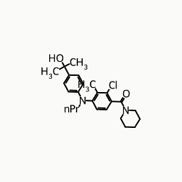 CCCN(c1ccc(C(C)(C)O)cc1)c1ccc(C(=O)N2CCCCC2)c(Cl)c1C